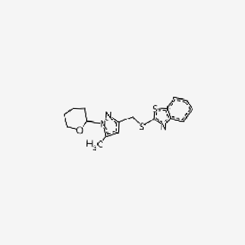 Cc1cc(CSc2nc3ccccc3s2)nn1C1CCCCO1